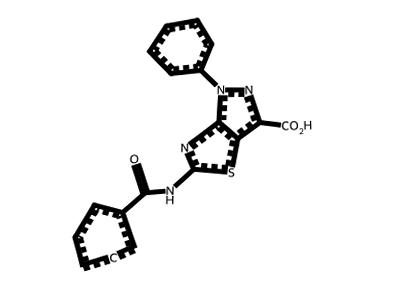 O=C(Nc1nc2c(s1)c(C(=O)O)nn2-c1ccccc1)c1ccccc1